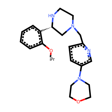 CC(C)Oc1ccccc1[C@H]1CN(Cc2ccc(N3CCOCC3)cn2)CCN1